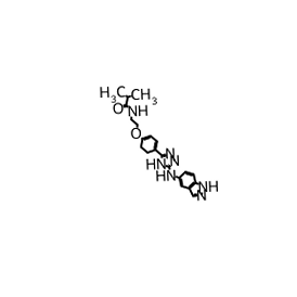 CC(C)C(=O)NCCOC1=CC=C(c2nnc(Nc3ccc4[nH]ncc4c3)[nH]2)CC1